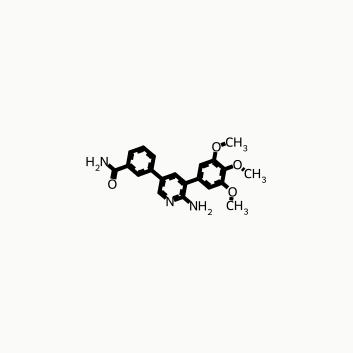 COc1cc(-c2cc(-c3cccc(C(N)=O)c3)cnc2N)cc(OC)c1OC